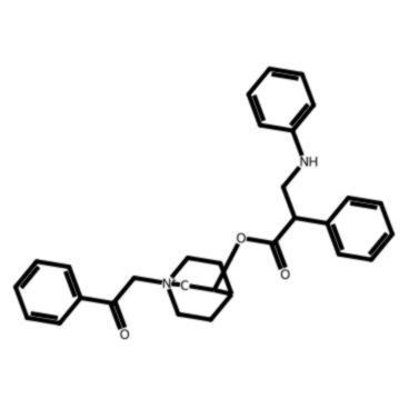 O=C(C[N+]12CCC(CC1)C(OC(=O)C(CNc1ccccc1)c1ccccc1)C2)c1ccccc1